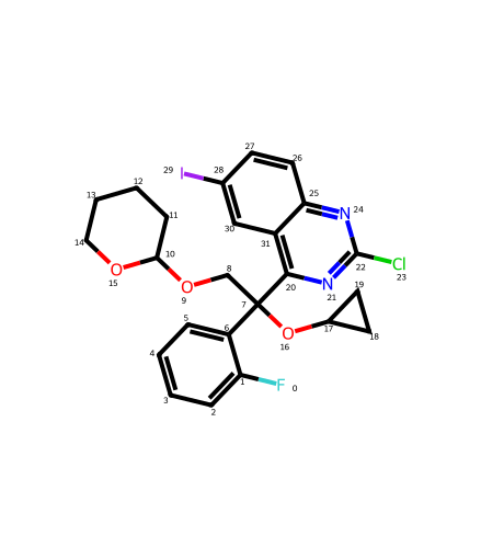 Fc1ccccc1C(COC1CCCCO1)(OC1CC1)c1nc(Cl)nc2ccc(I)cc12